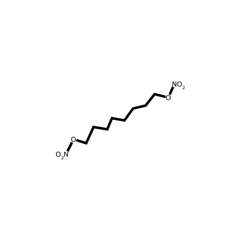 O=[N+]([O-])OCCCCCCCCO[N+](=O)[O-]